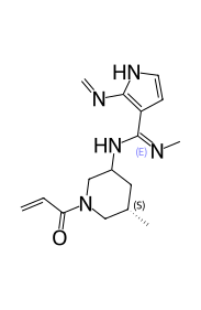 C=CC(=O)N1CC(N/C(=N/C)c2cc[nH]c2N=C)C[C@H](C)C1